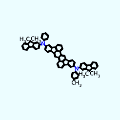 Cc1ccc(N(c2ccc3c(c2)C(C)(C)c2ccccc2-3)c2ccc3c(c2)c2cccc4c5cc6c7ccc(N(c8ccccc8)c8ccc9c(c8)C(C)(C)c8ccccc8-9)cc7c7cccc(c5cc3c24)c76)cc1